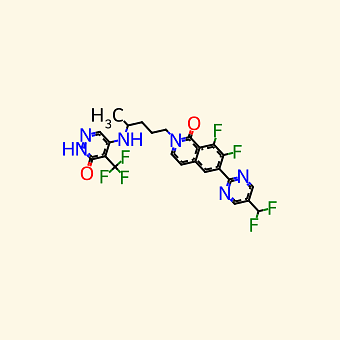 CC(CCCn1ccc2cc(-c3ncc(C(F)F)cn3)c(F)c(F)c2c1=O)Nc1cn[nH]c(=O)c1C(F)(F)F